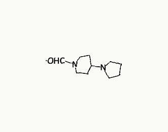 O=[C]N1CCC(N2CCCC2)CC1